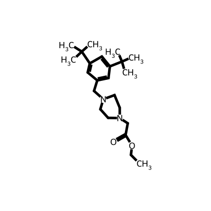 CCOC(=O)CN1CCN(Cc2cc(C(C)(C)C)cc(C(C)(C)C)c2)CC1